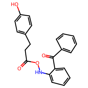 O=C(CCc1ccc(O)cc1)ONc1ccccc1C(=O)c1ccccc1